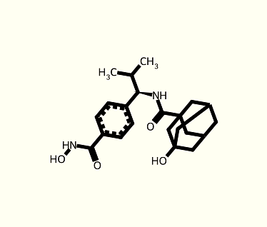 CC(C)[C@@H](NC(=O)C12CC3CC(CC(O)(C3)C1)C2)c1ccc(C(=O)NO)cc1